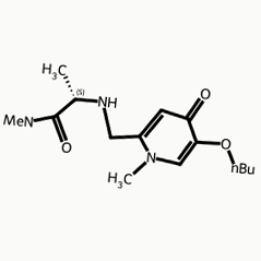 CCCCOc1cn(C)c(CN[C@@H](C)C(=O)NC)cc1=O